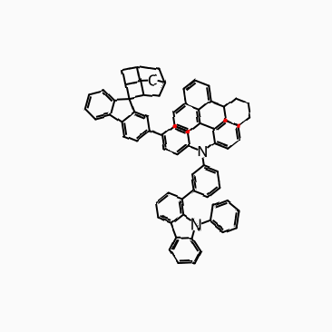 c1ccc(-n2c3ccccc3c3cccc(-c4cccc(N(c5ccc(-c6ccc7c(c6)C6(c8ccccc8-7)C7CC8CC9CC6C97C8)cc5)c5ccccc5-c5cccc6cccc(C7CCCCC7)c56)c4)c32)cc1